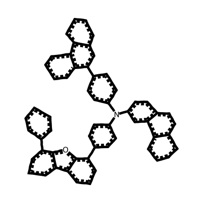 c1ccc(-c2cccc3c2oc2c(-c4ccc(N(c5ccc(-c6cc7ccccc7c7ccccc67)cc5)c5ccc6ccc7ccccc7c6c5)cc4)cccc23)cc1